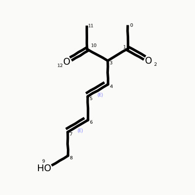 CC(=O)C(/C=C/C=C/CO)C(C)=O